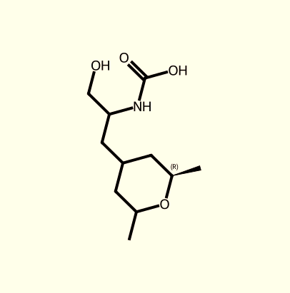 CC1CC(CC(CO)NC(=O)O)C[C@@H](C)O1